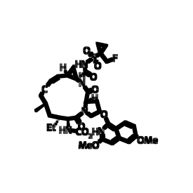 CC[C@@H]1C[C@@H](C)CCC=C[C@@H]2C[C@@]2(C(=O)NS(=O)(=O)C2(CF)CC2)NC(=O)[C@@H]2C[C@@H](Oc3nc(OC)cc4cc(OC)ccc34)CN2C(=O)[C@H]1NC(=O)O